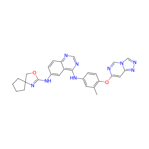 Cc1cc(Nc2ncnc3ccc(NC4=NC5(CCCC5)CO4)cc23)ccc1Oc1cc2nncn2cn1